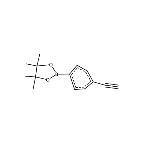 C#Cc1ccc(B2OC(C)(C)C(C)(C)O2)cc1